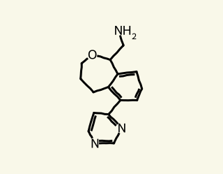 NCC1OCCCc2c(-c3ccncn3)cccc21